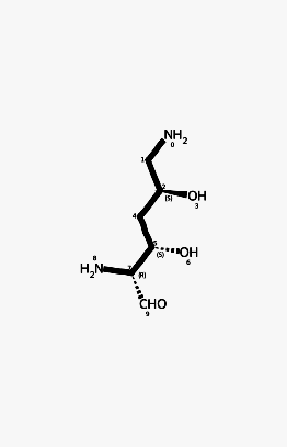 NC[C@@H](O)C[C@H](O)[C@@H](N)C=O